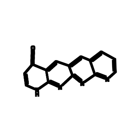 O=c1cc[nH]c2nc3nc4ncccc4cc3cc12